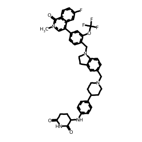 Cn1cc(-c2ccc(CN3CCc4cc(CN5CCC(c6ccc(NC7CCC(=O)NC7=O)cc6)CC5)ccc43)c(OC(F)(F)F)c2)c2cc(F)ccc2c1=O